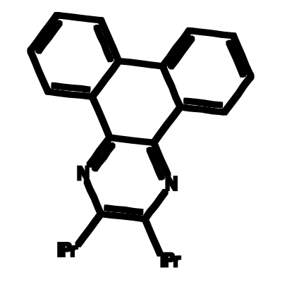 CC(C)c1nc2c3ccccc3c3ccccc3c2nc1C(C)C